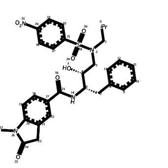 CC(C)CN(C[C@@H](O)[C@H](Cc1ccccc1)NC(=O)c1ccc2c(c1)CC(=O)N2C)S(=O)(=O)c1ccc([N+](=O)[O-])cc1